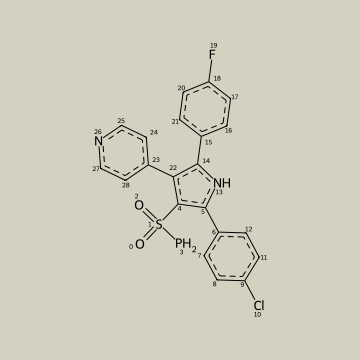 O=S(=O)(P)c1c(-c2ccc(Cl)cc2)[nH]c(-c2ccc(F)cc2)c1-c1ccncc1